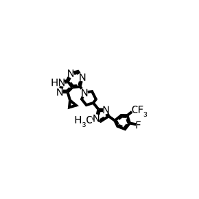 Cn1cc(-c2ccc(F)c(C(F)(F)F)c2)nc1C1CCN(c2ncnc3[nH]nc(C4CC4)c23)CC1